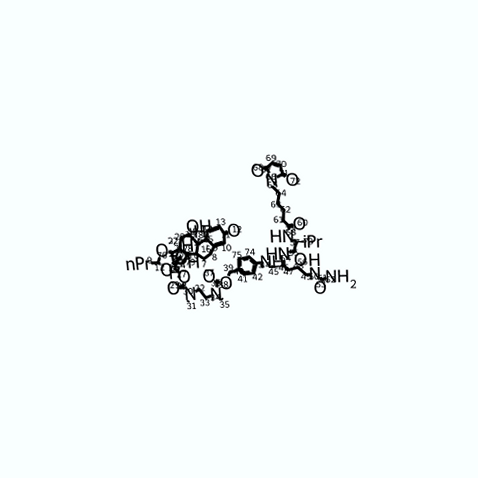 CCCC1O[C@@H]2C[C@H]3[C@@H]4CCC5=CC(=O)C=C[C@]5(C)[C@H]4[C@@H](O)C[C@]3(C)[C@]2(C(=O)COC(=O)N(C)CCN(C)C(=O)OCc2ccc(NC[C@H](CCCNC(N)=O)NC(=O)[C@@H](NC(=O)CCCCCN3C(=O)C=CC3=O)C(C)C)cc2)O1